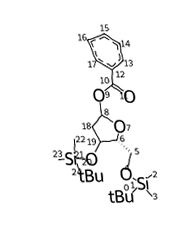 CC(C)(C)[Si](C)(C)OC[C@H]1OC(OC(=O)c2ccccc2)CC1O[Si](C)(C)C(C)(C)C